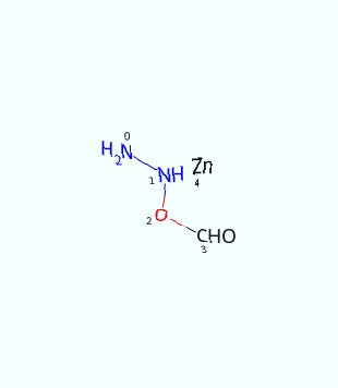 NNOC=O.[Zn]